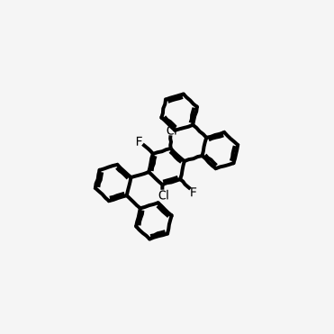 Fc1c(Cl)c(-c2ccccc2-c2ccccc2)c(F)c(Cl)c1-c1ccccc1-c1ccccc1